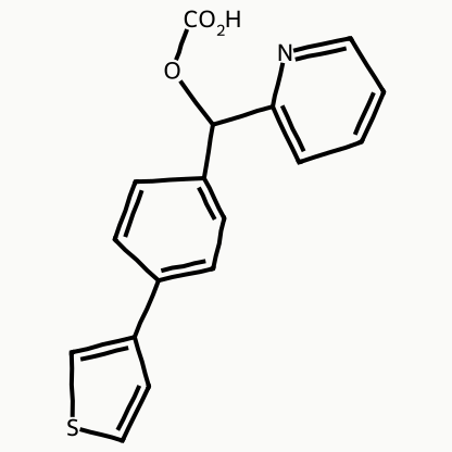 O=C(O)OC(c1ccc(-c2ccsc2)cc1)c1ccccn1